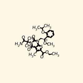 CCOC(=O)c1sc2c(c1C)c(=O)n(C(C)(C)C(N)=O)c(=O)n2C[C@H](OC)c1ccccc1OC(C)C